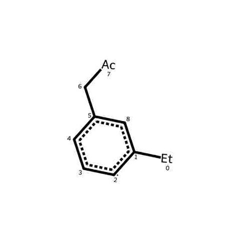 CCc1[c]ccc(CC(C)=O)c1